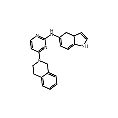 C1=CC2CC(Nc3nccc(N4CCc5ccccc5C4)n3)=CC=C2N1